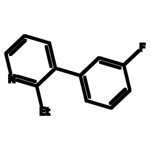 CCc1ncccc1-c1cccc(F)c1